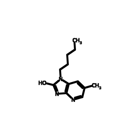 CCCCCn1c(O)nc2ncc(C)cc21